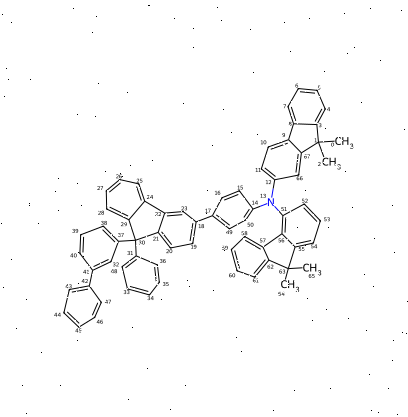 CC1(C)c2ccccc2-c2ccc(N(c3ccc(-c4ccc5c(c4)-c4ccccc4C5(c4ccccc4)c4cccc(-c5ccccc5)c4)cc3)c3cccc4c3-c3ccccc3C4(C)C)cc21